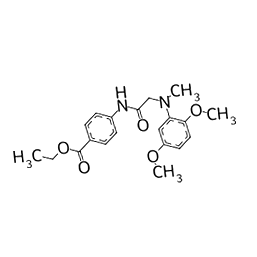 CCOC(=O)c1ccc(NC(=O)CN(C)c2cc(OC)ccc2OC)cc1